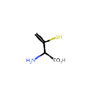 C=C(S)C(N)C(=O)O